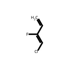 C=CC(F)=CCl